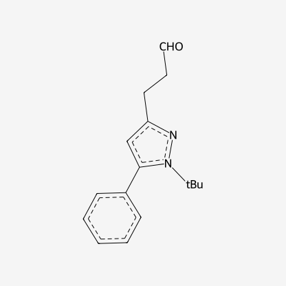 CC(C)(C)n1nc(CCC=O)cc1-c1ccccc1